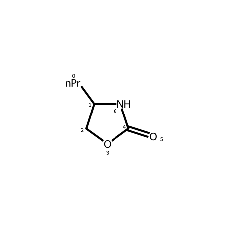 CCCC1COC(=O)N1